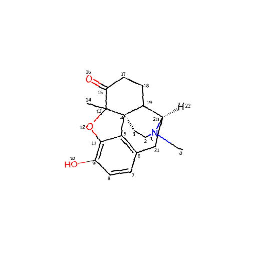 CN1CC[C@]23c4c5ccc(O)c4OC2(C)C(=O)CCC3[C@H]1C5